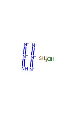 Cl.[N-]=[N+]=N.[N-]=[N+]=[N-].[SH3+]